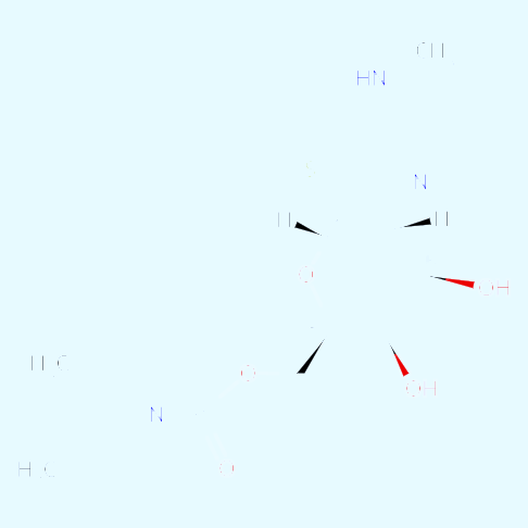 CCN(CC)C(=O)OC[C@H]1O[C@@H]2SC(NC)=N[C@@H]2[C@@H](O)[C@H]1O